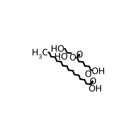 CCCCCCCCCCCCCCCC(=O)O.O=C(O)CCCCC(=O)OCC(O)CO